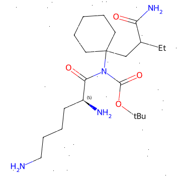 CCC(CC1(N(C(=O)OC(C)(C)C)C(=O)[C@@H](N)CCCCN)CCCCC1)C(N)=O